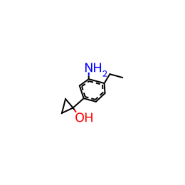 CCc1ccc(C2(O)CC2)cc1N